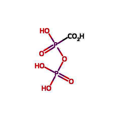 O=C(O)P(=O)(O)OP(=O)(O)O